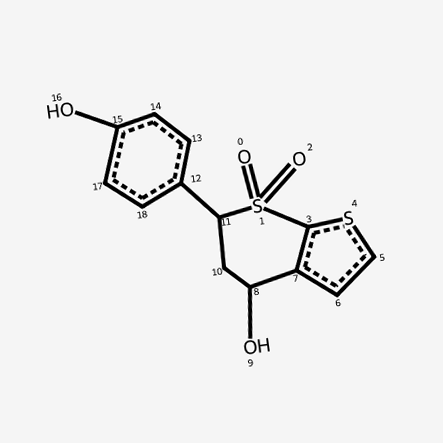 O=S1(=O)c2sccc2C(O)CC1c1ccc(O)cc1